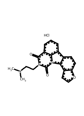 CN(C)CCn1c(=O)c2cccc3c4ccc5occc5c4n(c1=O)c23.Cl